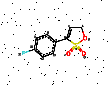 O=S1(=O)OCC=C1c1ccc(F)cc1